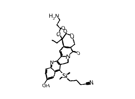 CCC1(OC(=O)CCN)C(=O)OCc2c1cc1n(c2=O)Cc2c-1nc1ccc(O)cc1c2[Si](C)(C)CCCC#N